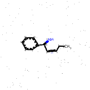 CC/C=C\C(=N)c1ccccc1